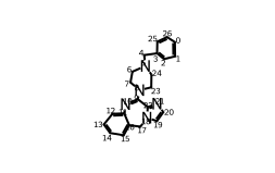 c1ccc(CN2CCN(C3=Nc4ccccc4Cn4ccnc43)CC2)cc1